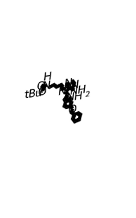 CC(C)(C)OC(=O)NCCCCn1nc(-c2cc3ccc(OCc4ccccc4)cc3[nH]2)c2c(N)ncnc21